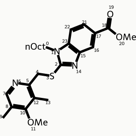 CCCCCCCCn1c(SCc2ncc(C)c(OC)c2C)nc2cc(C(=O)OC)ccc21